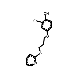 Oc1ccc(OCCCSc2ccccn2)cc1Cl